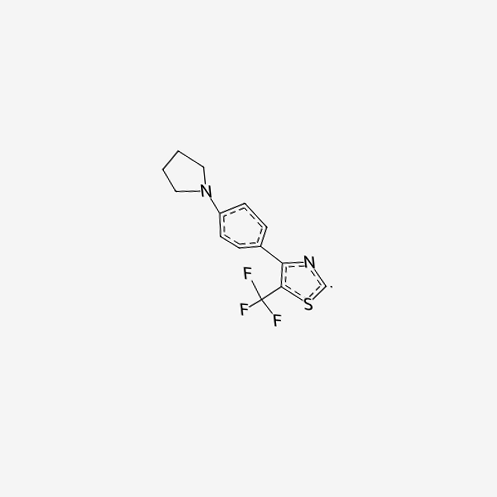 FC(F)(F)c1s[c]nc1-c1ccc(N2CCCC2)cc1